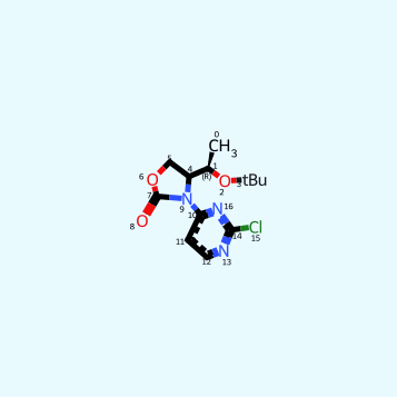 C[C@@H](OC(C)(C)C)C1COC(=O)N1c1ccnc(Cl)n1